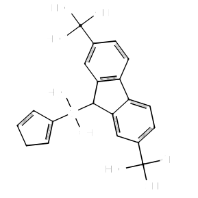 CC(C)(C)c1ccc2c(c1)C([Si](C)(C)C1=CCC=C1)c1cc(C(C)(C)C)ccc1-2